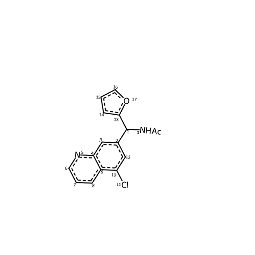 CC(=O)NC(c1[c]c2ncccc2c(Cl)c1)c1ccco1